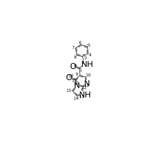 O=C(Nc1c[c]ccc1)c1cnc2[nH]ccn2c1=O